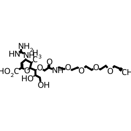 C#CCOCCOCCOCCOCCNC(=O)CO[C@@H]([C@@H]1OC(C(=O)O)=C[C@H](NC(=N)N)[C@H]1C)[C@H](O)CO